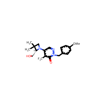 COc1ccc(Cn2ncc(N3CC(C)(C)[C@H]3CO)c(C(F)(F)F)c2=O)cc1